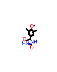 COc1c(C)cc(C2NC(=O)NC2=O)cc1C